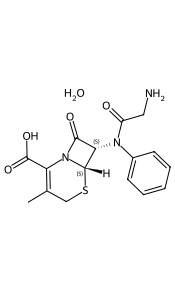 CC1=C(C(=O)O)N2C(=O)[C@H](N(C(=O)CN)c3ccccc3)[C@@H]2SC1.O